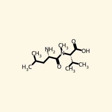 CC(C)C[C@H](N)C(=O)N(C)[C@H](C(=O)O)C(C)C